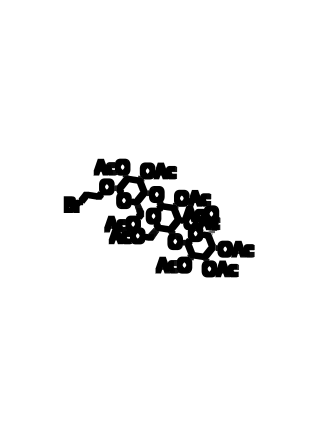 CC(=O)OC[C@H]1O[C@@H](O[C@@H]2[C@H](OC(C)=O)[C@@H](OC(C)=O)[C@H](O[C@H]3[C@H](OC(C)=O)[C@@H](OC(C)=O)[C@@H](OCCBr)O[C@@H]3COC(C)=O)O[C@@H]2COC(C)=O)[C@H](OC(C)=O)[C@@H](OC(C)=O)[C@H]1OC(C)=O